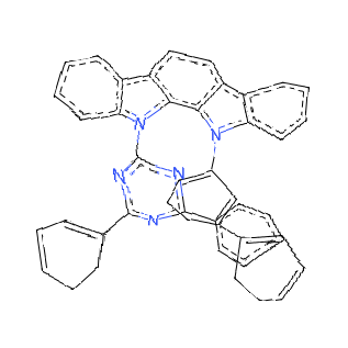 C1=CCCC(C2=CC(n3c4ccccc4c4ccc5c6ccccc6n(-c6nc(C7=CC=CCC7)nc(-c7ccccc7)n6)c5c43)=CCC2)=C1